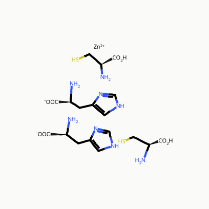 N[C@@H](CS)C(=O)O.N[C@@H](CS)C(=O)O.N[C@@H](Cc1c[nH]cn1)C(=O)[O-].N[C@@H](Cc1c[nH]cn1)C(=O)[O-].[Zn+2]